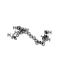 Cc1ncsc1-c1ccc(CNC(=O)[C@@H]2C[C@@H](O)CN2C(=O)[C@@H](NC(=O)COCCOCCOCCOCCOCC(=O)N2CCN(C(=O)c3ccc(Nc4nc(C5CC5)cn5c(-c6cn[nH]c6)cnc45)c(F)c3)CC2)C(C)(C)C)cc1